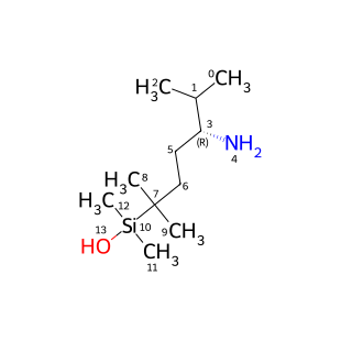 CC(C)[C@H](N)CCC(C)(C)[Si](C)(C)O